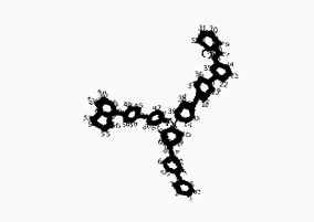 c1ccc(-c2ccc(-c3ccc(N(c4ccc(-c5ccc(-c6cccc(-c7cc8ccccc8o7)c6)cc5)cc4)c4ccc(-c5ccc(-c6cccc7ccccc67)cc5)cc4)cc3)cc2)cc1